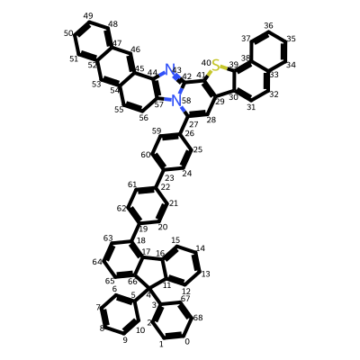 c1ccc(C2(c3ccccc3)c3ccccc3-c3c(-c4ccc(-c5ccc(-c6cc7c8ccc9ccccc9c8sc7c7nc8c9cc%10ccccc%10cc9ccc8n67)cc5)cc4)cccc32)cc1